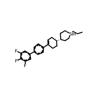 CCC[Si@H]1CC[C@H](C2CC=C(c3ccc(-c4cc(F)c(F)c(F)c4)cc3)CC2)CC1